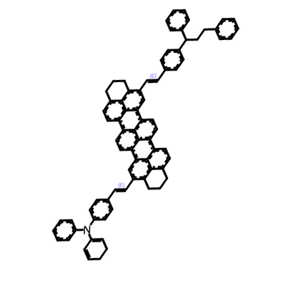 C1=CC(N(c2ccccc2)c2ccc(/C=C/c3cc4c5ccc6c7ccc8c9c(c(/C=C/c%10ccc(C(CCc%11ccccc%11)c%11ccccc%11)cc%10)cc(c%10ccc(c%11ccc%12c(c3CCC%12)c%114)c5c6%10)c97)CCC8)cc2)=CCC1